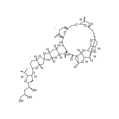 C=C1C[C@@H]2CC[C@@]34C[C@H]5O[C@@H]6C(O[C@H]7CC[C@H](CC(=O)O[C@@H]8[C@@H](C)[C@@H]9O[C@@H]%10C[C@]%11(C[C@@H]%12O[C@]%13(C[C@H](C)[C@@H]%14O[C@H]([C@@H](O)C[C@@H](O)CO)C[C@@H]%14O%13)C[C@H](C)[C@@H]%12O%11)O[C@@H]%10C[C@@H]9O[C@H]8C[C@H]8O[C@@H](CC[C@@H]1O2)C[C@@H](C)C8=C)O[C@@H]7[C@@H]6O3)C5O4